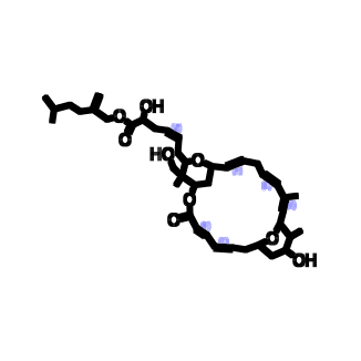 C=C(CCC(C)C)COC(=O)C(O)C/C=C\CC1OC2/C=C/C/C=C/C(C)=C\C3OC(C/C=C/C=C/C(=O)OC(C2)C1(C)CO)CC(O)C3C